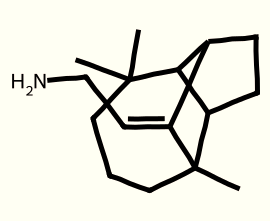 CC1(C)CCCC2(C)C(=CCN)C3CCC2C31